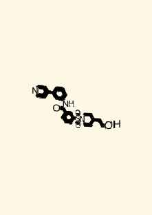 O=C(Nc1cccc(-c2ccncc2)c1)c1cccc(S(=O)(=O)N2CCC(CCO)CC2)c1